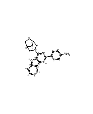 Nc1ccc(-c2nc(N3CC4CCC(C3)O4)c3oc4ncccc4c3n2)cc1